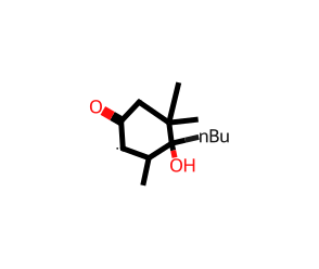 CCCCC1(O)C(C)[CH]C(=O)CC1(C)C